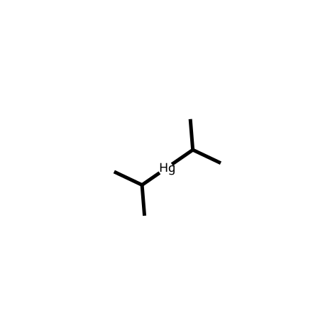 C[CH](C)[Hg][CH](C)C